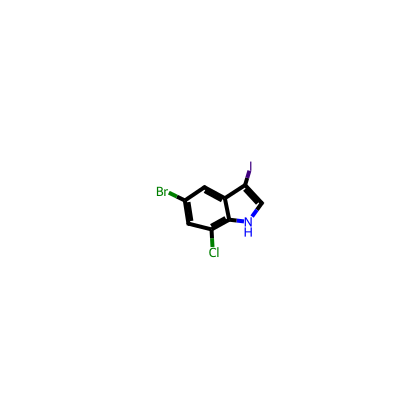 Clc1cc(Br)cc2c(I)c[nH]c12